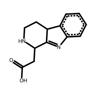 O=C(O)CC1NCCC2C1=Nc1ccccc12